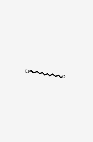 CCC=CCCCCCCCCCC[O]